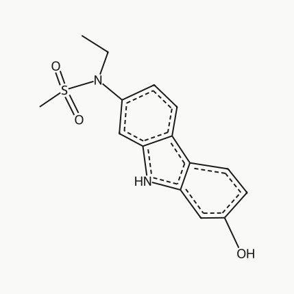 CCN(c1ccc2c(c1)[nH]c1cc(O)ccc12)S(C)(=O)=O